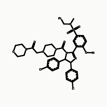 CCOc1ccc(S(=O)(=O)N(C)CC(C)C)cc1C1=NC(c2ccc(Cl)cc2)C(c2ccc(Cl)cc2)N1C(=O)N1CCN(CC(=O)N2CCOCC2)CC1